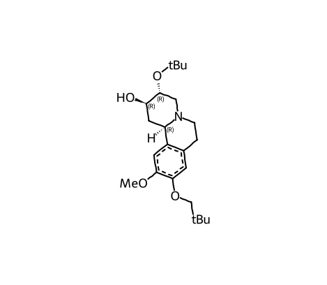 COc1cc2c(cc1OCC(C)(C)C)CCN1C[C@@H](OC(C)(C)C)[C@H](O)C[C@H]21